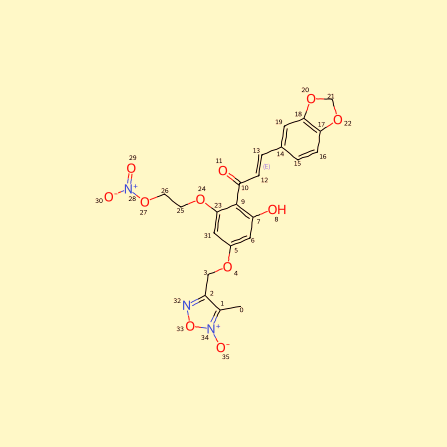 Cc1c(COc2cc(O)c(C(=O)/C=C/c3ccc4c(c3)OCO4)c(OCCO[N+](=O)[O-])c2)no[n+]1[O-]